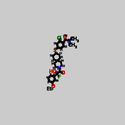 CCOc1cccc(C(O)(F)C(=O)N2CCC3(CCC(Sc4ccc(C(=O)N(C)C)c(Cl)c4)CC3)CC2)c1